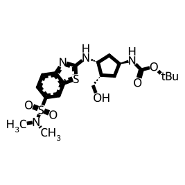 CN(C)S(=O)(=O)c1ccc2nc(N[C@@H]3C[C@@H](NC(=O)OC(C)(C)C)C[C@@H]3CO)sc2c1